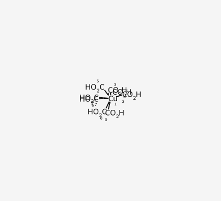 O=[C](O)[Cu]([C](=O)O)([C](=O)O)([C](=O)O)([C](=O)O)([C](=O)O)([C](=O)O)[C](=O)O